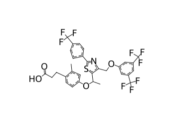 Cc1cc(OC(C)c2sc(-c3ccc(C(F)(F)F)cc3)nc2COc2cc(C(F)(F)F)cc(C(F)(F)F)c2)ccc1CCC(=O)O